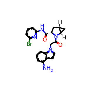 Nc1cccc2c1ccn2CC(=O)N1[C@@H]2C[C@@H]2C[C@H]1C(=O)Nc1cccc(Br)n1